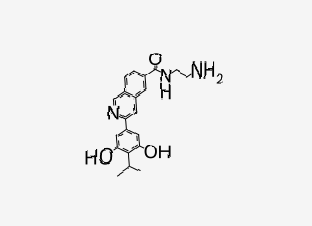 CC(C)c1c(O)cc(-c2cc3cc(C(=O)NCCN)ccc3cn2)cc1O